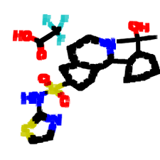 CC(C)(O)c1ccccc1-c1nccc2cc(S(=O)(=O)Nc3nccs3)ccc12.O=C(O)C(F)(F)F